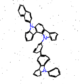 c1ccc(-n2c3ccccc3c3cc(-c4cccc(-n5c6ccccc6c6ccc7c(c8ccccc8n7-c7ccc8ccccc8c7)c65)c4)ccc32)cc1